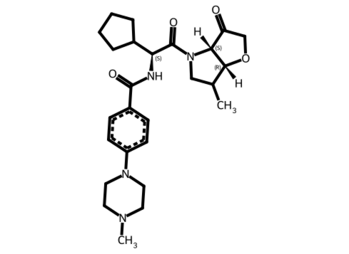 CC1CN(C(=O)[C@@H](NC(=O)c2ccc(N3CCN(C)CC3)cc2)C2CCCC2)[C@@H]2C(=O)CO[C@H]12